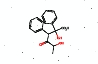 CC(O)C(=O)C(c1ccccc1)C(O)(C(=O)O)c1ccccc1